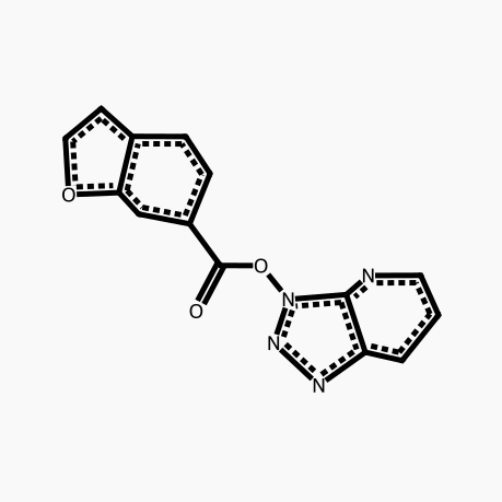 O=C(On1nnc2cccnc21)c1ccc2ccoc2c1